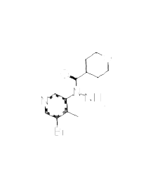 Cc1c(Br)cncc1N(N)C(=O)C1CCOCC1